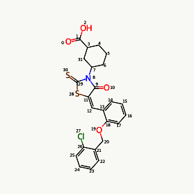 O=C(O)C1CCCC(N2C(=O)/C(=C\c3ccccc3OCc3ccccc3Cl)SC2=S)C1